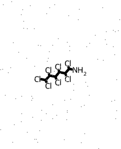 NC(Cl)C(Cl)C(Cl)C(Cl)C(Cl)C(Cl)Cl